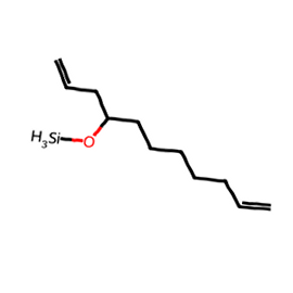 C=CCCCCCC(CC=C)O[SiH3]